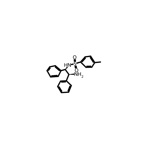 Cc1ccc(S(=O)(=O)N[C@H](c2ccccc2)[C@@H](N)c2ccccc2)cc1